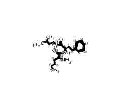 CC(C)CCNC(=O)[C@@H](CCc1ccccc1)NC(=O)[C@@H](N)CCCN